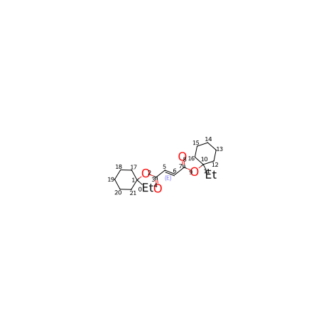 CCC1(OC(=O)/C=C/C(=O)OC2(CC)CCCCC2)CCCCC1